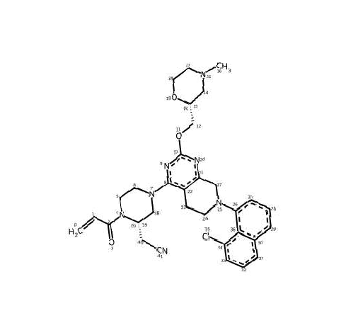 C=CC(=O)N1CCN(c2nc(OC[C@H]3CN(C)CCO3)nc3c2CCN(c2cccc4cccc(Cl)c24)C3)C[C@@H]1CC#N